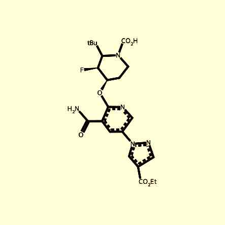 CCOC(=O)c1cnn(-c2cnc(O[C@@H]3CCN(C(=O)O)C(C(C)(C)C)[C@@H]3F)c(C(N)=O)c2)c1